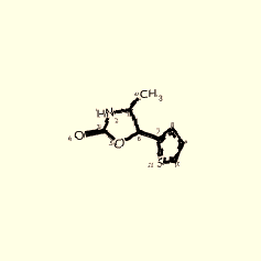 CC1NC(=O)OC1c1cccs1